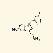 N#Cc1ccc2c(c1)c1c(n2Cc2cccc(F)c2)CCC(N)C1